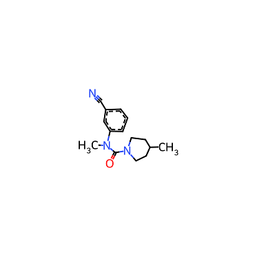 CC1CCN(C(=O)N(C)c2cccc(C#N)c2)CC1